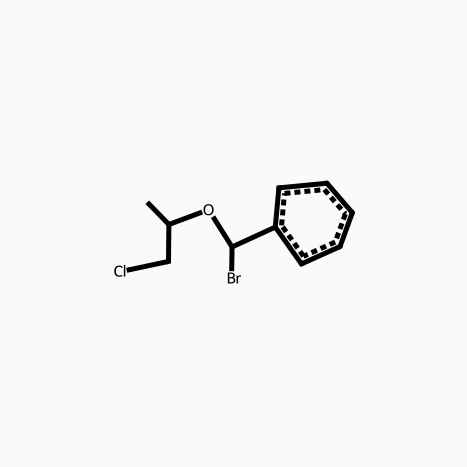 CC(CCl)OC(Br)c1ccccc1